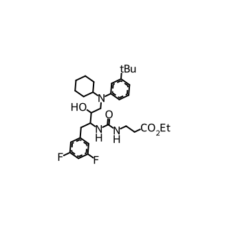 CCOC(=O)CCNC(=O)NC(Cc1cc(F)cc(F)c1)C(O)CN(c1cccc(C(C)(C)C)c1)C1CCCCC1